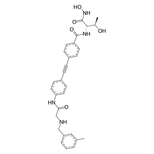 Cc1cccc(CNCC(=O)Nc2ccc(C#Cc3ccc(C(=O)N[C@H](C(=O)NO)[C@@H](C)O)cc3)cc2)c1